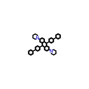 c1ccc(-c2ccc(-c3c4ccc(N5CCCCC5)cc4c(-c4ccc(-c5ccccc5)cc4)c4ccc(N5CCCCC5)cc34)cc2)cc1